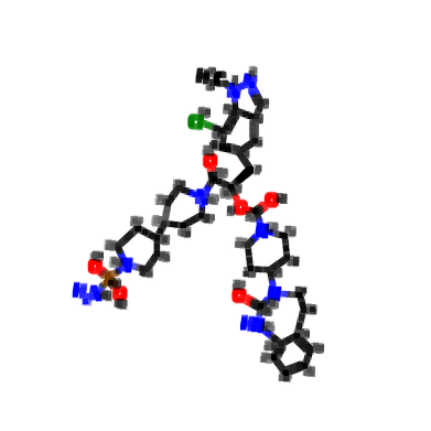 Cn1ncc2cc(C[C@@H](OC(=O)N3CCC(N4CCc5ccccc5NC4=O)CC3)C(=O)N3CCC(C4CCN(S(N)(=O)=O)CC4)CC3)cc(Cl)c21